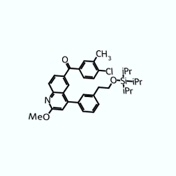 COc1cc(-c2cccc(CCO[Si](C(C)C)(C(C)C)C(C)C)c2)c2cc(C(=O)c3ccc(Cl)c(C)c3)ccc2n1